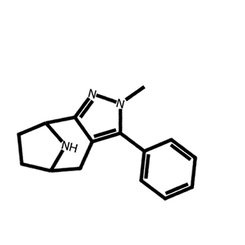 Cn1nc2c(c1-c1ccccc1)CC1CCC2N1